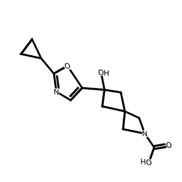 O=C(O)N1CC2(C1)CC(O)(c1cnc(C3CC3)o1)C2